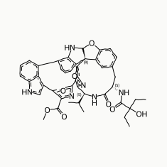 CCC(O)(CC)C(=O)N[C@H]1Cc2ccc3c(c2)[C@]24c5cccc(c5NC2O3)-c2cccc3[nH]cc(c23)-c2oc(nc2C(=O)OC)-c2nc(oc24)[C@H](C(C)C)NC1=O